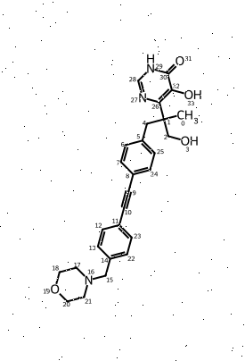 CC(CO)(Cc1ccc(C#Cc2ccc(CN3CCOCC3)cc2)cc1)c1nc[nH]c(=O)c1O